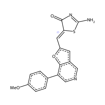 COc1ccc(-c2cncc3cc(/C=C4\SC(N)=NC4=O)oc23)cc1